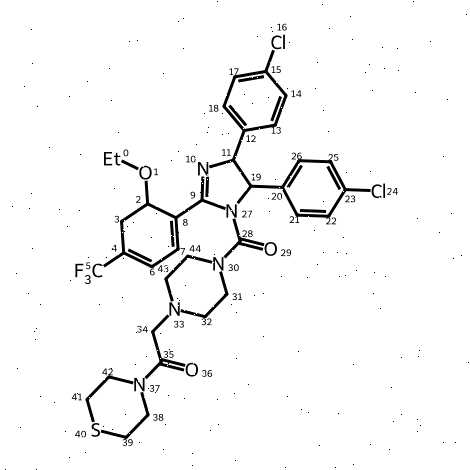 CCOC1CC(C(F)(F)F)=CC=C1C1=NC(c2ccc(Cl)cc2)C(c2ccc(Cl)cc2)N1C(=O)N1CCN(CC(=O)N2CCSCC2)CC1